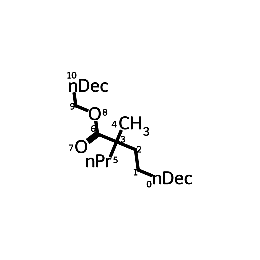 CCCCCCCCCCCCC(C)(CCC)C(=O)OCCCCCCCCCCC